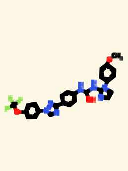 COc1ccc(-n2ccnc2NC(O)Nc2ccc(-c3ncn(-c4ccc(OC(F)(F)F)cc4)n3)cc2)cc1